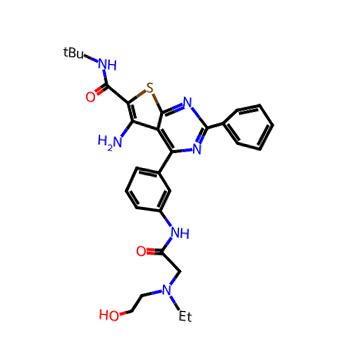 CCN(CCO)CC(=O)Nc1cccc(-c2nc(-c3ccccc3)nc3sc(C(=O)NC(C)(C)C)c(N)c23)c1